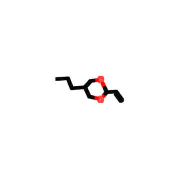 C=CC1OCC(CCC)CO1